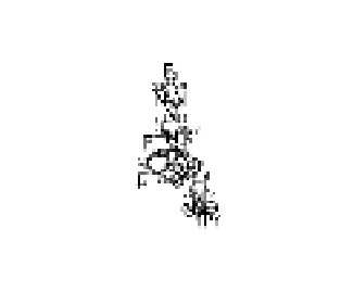 CC(C)S(=O)(=O)n1ccc(S(=O)(=O)n2nc(N3CCN(c4ncc(F)cn4)CC34CC4)c3c(F)cc(F)cc32)c1